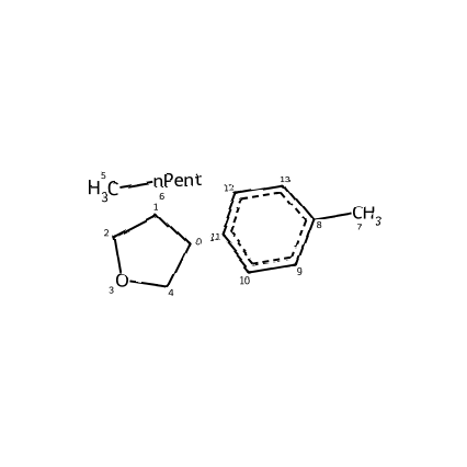 C1CCOC1.CCCCCC.Cc1ccccc1